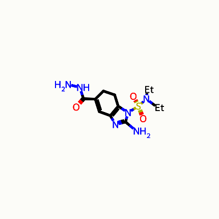 CCN(CC)S(=O)(=O)n1c(N)nc2c1CCC(C(=O)NN)=C2